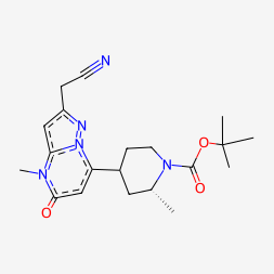 C[C@@H]1CC(c2cc(=O)n(C)c3cc(CC#N)nn23)CCN1C(=O)OC(C)(C)C